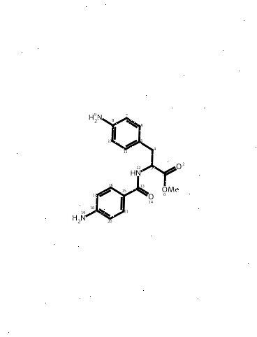 COC(=O)C(Cc1ccc(N)cc1)NC(=O)c1ccc(N)cc1